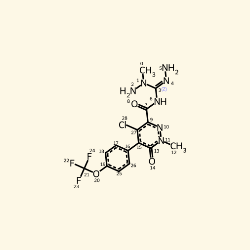 CN(N)/C(=N\N)NC(=O)c1nn(C)c(=O)c(-c2ccc(OC(F)(F)F)cc2)c1Cl